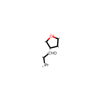 C1CCOC1.CC(C)CC=O